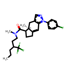 CCCC(CCN(C)C(=O)C1CCC2=Cc3c(cnn3-c3ccc(F)cc3)C[C@@]21C)C(F)(F)F